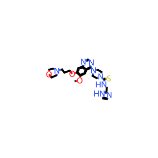 COc1cc2c(N3CCN(C(=S)NCc4ncc[nH]4)CC3)ncnc2cc1OCCCN1CCOCC1